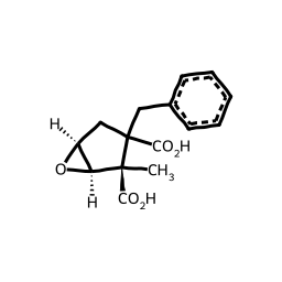 C[C@]1(C(=O)O)[C@H]2O[C@H]2CC1(Cc1ccccc1)C(=O)O